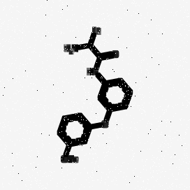 CCC(N)C(=O)Nc1cccc(Oc2cccc(OC)c2)c1